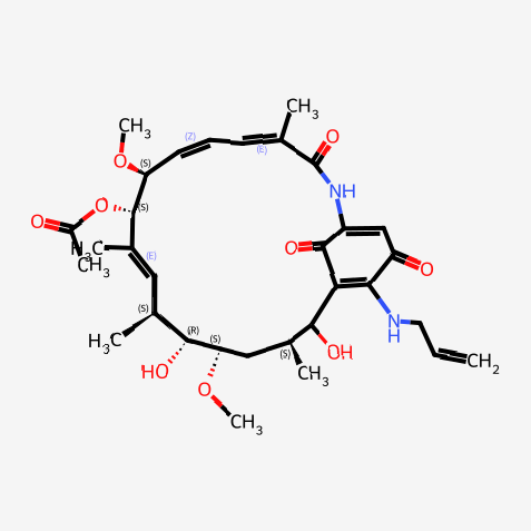 C=CCNC1=C2C(=O)C(=CC1=O)NC(=O)/C(C)=C/C=C\[C@H](OC)[C@@H](OC(C)=O)/C(C)=C/[C@H](C)[C@@H](O)[C@@H](OC)C[C@H](C)C2O